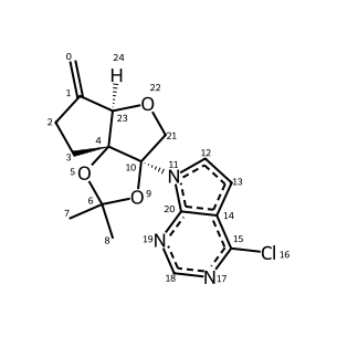 C=C1CC[C@]23OC(C)(C)O[C@]2(n2ccc4c(Cl)ncnc42)CO[C@H]13